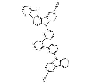 N#Cc1ccc2c(c1)c1ccccc1n2-c1cccc(-c2ccccc2-c2cccc(-n3c4ccc(C#N)cc4c4c5sc6cccnc6c5ccc43)c2)c1